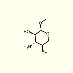 CO[C@H]1OC[C@@H](O)[C@H](N)[C@H]1O